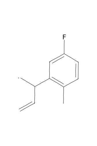 [CH2]C(C=C)c1cc(F)ccc1C